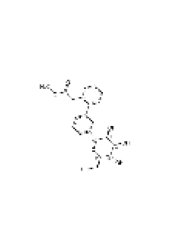 COC(=O)Cc1ccccc1-c1cccc([C@H]2O[C@H](CO)[C@@H](O)[C@H](O)[C@@H]2O)c1